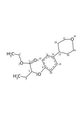 CCOC(=O)C(CC)Oc1ccc(C2CCOCC2)cc1